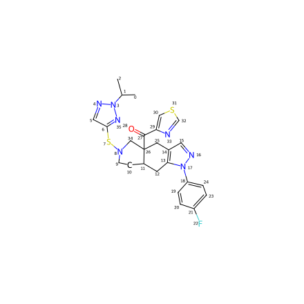 CC(C)n1ncc(SN2CCC3Cc4c(cnn4-c4ccc(F)cc4)CC3(C(=O)c3cscn3)C2)n1